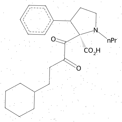 CCCN1CCC(c2ccccc2)[C@]1(C(=O)O)C(=O)C(=O)CCC1CCCCC1